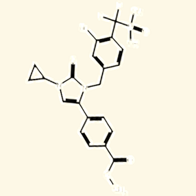 COC(=O)c1ccc(-c2cn(C3CC3)c(=O)n2Cc2ccc(C(F)(F)P(=O)(O)O)c(Br)c2)cc1